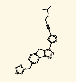 CC(C)OCC#Cc1cc(-c2n[nH]c3c2Cc2ccc(Cn4cncn4)cc2-3)cs1